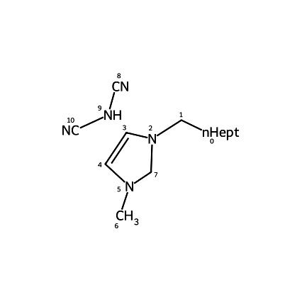 CCCCCCCCN1C=CN(C)C1.N#CNC#N